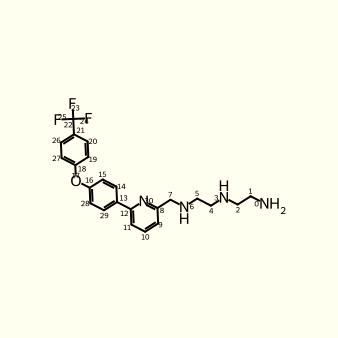 NCCNCCNCc1cccc(-c2ccc(Oc3ccc(C(F)(F)F)cc3)cc2)n1